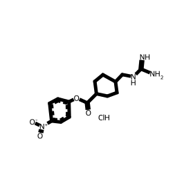 Cl.N=C(N)NCC1CCC(C(=O)Oc2ccc([N+](=O)[O-])cc2)CC1